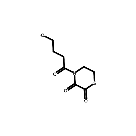 [O]CCCC(=O)N1CCSC(=O)C1=O